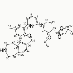 CCO[C@@H]1CN(c2cccc(-c3cc(C)ccc3OCc3ccc4c(c3C)CCNCC4)n2)CC[C@@H]1C(=O)OC(C)(C)C